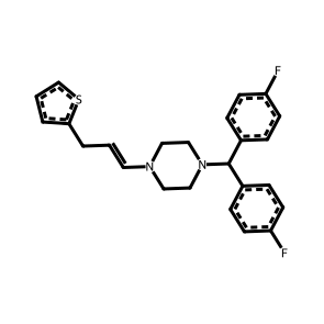 Fc1ccc(C(c2ccc(F)cc2)N2CCN(C=CCc3cccs3)CC2)cc1